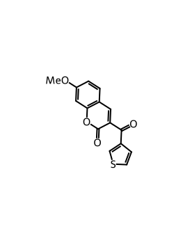 COc1ccc2cc(C(=O)c3ccsc3)c(=O)oc2c1